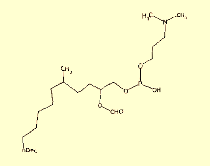 CCCCCCCCCCCCCCCC(C)CCC(COP(O)OCCCN(C)C)OC=O